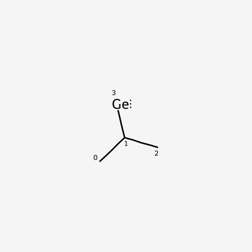 C[CH](C)[Ge]